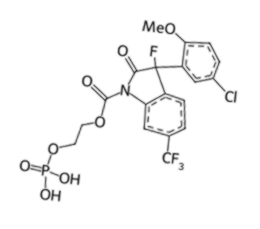 COc1ccc(Cl)cc1C1(F)C(=O)N(C(=O)OCCOP(=O)(O)O)c2cc(C(F)(F)F)ccc21